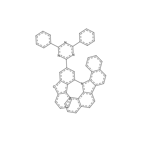 c1ccc(-c2nc(-c3ccccc3)nc(-c3cc(-n4c5c6ccccc6ccc5c5ccc6ccccc6c54)c4c(c3)oc3ccccc34)n2)cc1